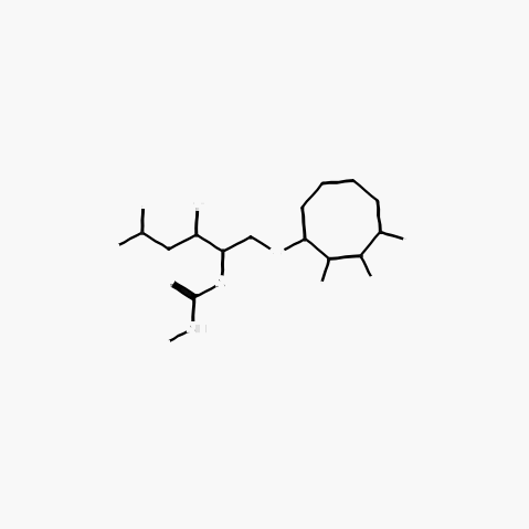 CCNC(=S)NC(COC1CCCCC(O)C(O)C1O)C(O)CC(O)CC